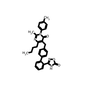 CCCCc1nc(C)n(-c2ccc(C)cc2)c(=O)c1Cc1ccc(-c2ccccc2-c2noc(=O)[nH]2)cc1